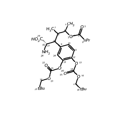 CCCC(=O)OC(C)C(C)C(c1ccc(OC(=O)OCC(C)(C)C)c(OC(=O)OCC(C)(C)C)c1)[C@H](N)C(=O)O